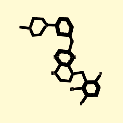 CN1CCN(c2cccc(Oc3cnc4c(n3)N(Cc3c(F)ccc(F)c3Cl)CCN4)c2)CC1